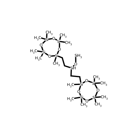 C[Si]1(C)O[Si](C)(C)O[Si](C)(CC[SiH](CC[Si]2(C)O[Si](C)(C)O[Si](C)(C)O[Si](C)(C)O2)O[SiH3])O[Si](C)(C)O1